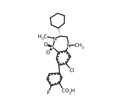 CN1C[C@@H](C2CCCCC2)N(C)S(=O)(=O)c2cc(-c3ccc(F)c(C(=O)O)c3)c(Cl)cc21